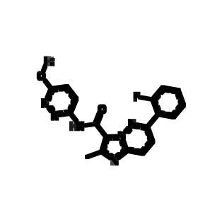 CCOc1ccc(NC(=O)c2c(C)nc3ccc(-c4ccccc4F)nn23)nn1